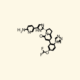 Nc1ccc(-c2cnc([C@@H]3CCc4cc(-c5cc(OC(F)F)ccc5-n5cnnn5)cc(=O)n43)[nH]2)cn1